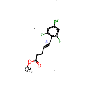 COC(=O)CC/C=C/c1c(F)cc(Br)cc1F